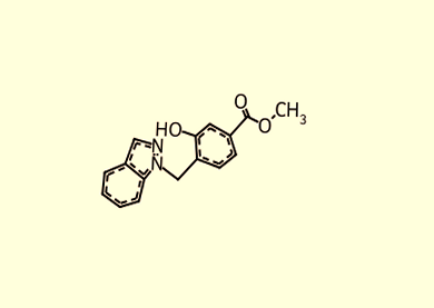 COC(=O)c1ccc(Cn2ncc3ccccc32)c(O)c1